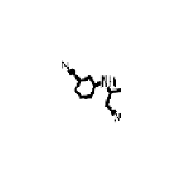 CC(CC#N)NC1CCCC(C#N)C1